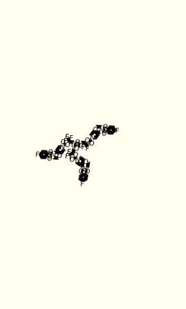 O=C(OC(COP(=O)(OCC(OC(=O)N1CCC2(CC1)CN(S(=O)(=O)c1ccc(F)cc1)CCO2)C(F)(F)F)OCC(OC(=O)N1CCC2(CC1)CN(S(=O)(=O)c1ccc(F)cc1)CCO2)C(F)(F)F)C(F)(F)F)N1CCC2(CC1)CN(S(=O)(=O)c1ccc(F)cc1)CCO2